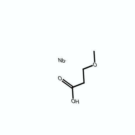 COCCC(=O)O.[Nb]